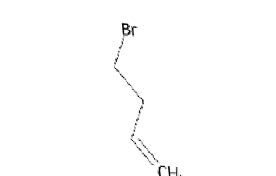 [CH]=CCCBr